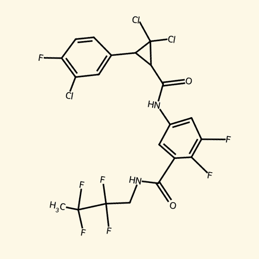 CC(F)(F)C(F)(F)CNC(=O)c1cc(NC(=O)C2C(c3ccc(F)c(Cl)c3)C2(Cl)Cl)cc(F)c1F